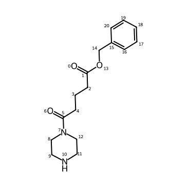 O=C(CCCC(=O)N1CCNCC1)OCc1ccccc1